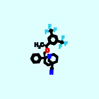 C[C@@H](OC[C@@]1(c2ccccc2)CCC2(C#N)CCCN1C2)c1cc(C(F)(F)F)cc(C(F)(F)F)c1